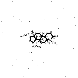 CCCO[C@H]1C[C@@H](OC)[C@H]2[C@@H]3CC[C@H]4N(C)C(=O)CC[C@]4(C)[C@H]3CC[C@@]21C